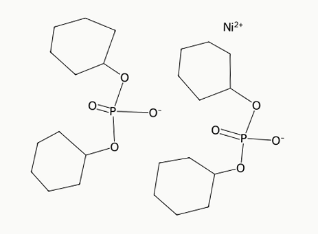 O=P([O-])(OC1CCCCC1)OC1CCCCC1.O=P([O-])(OC1CCCCC1)OC1CCCCC1.[Ni+2]